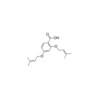 CC(C)=CCOc1ccc(C(=O)O)c(OCC=C(C)C)c1